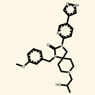 COc1cccc(CN2C(=O)N(c3ccc(-c4cn[nH]c4)cn3)CC23CCN(CC(C)O)CC3)c1